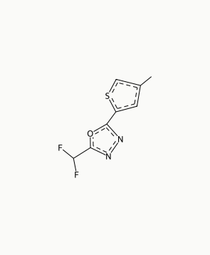 Cc1csc(-c2nnc(C(F)F)o2)c1